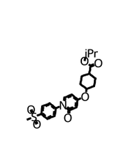 CC(C)OC(=O)C1CCC(Oc2ccn(-c3ccc(S(C)(=O)=O)cc3)c(=O)c2)CC1